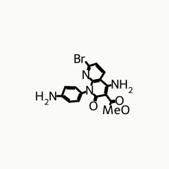 COC(=O)c1c(N)c2ccc(Br)nc2n(-c2ccc(N)cc2)c1=O